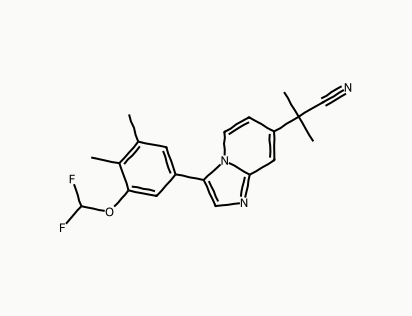 Cc1cc(-c2cnc3cc(C(C)(C)C#N)ccn23)cc(OC(F)F)c1C